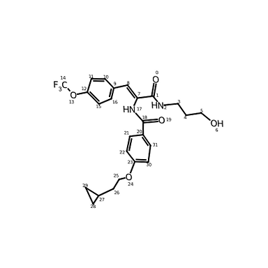 O=C(NCCCO)C(=Cc1ccc(OC(F)(F)F)cc1)NC(=O)c1ccc(OCCC2CC2)cc1